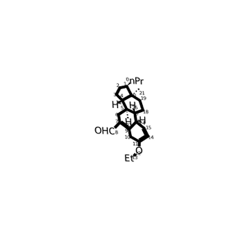 CCC[C@H]1CC[C@H]2[C@@H]3CC(C=O)=C4CC(OCC)=C=C[C@@H]4[C@H]3CC[C@]12C